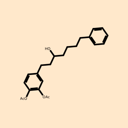 CC(=O)Oc1ccc(CCC(O)CCCCc2ccccc2)cc1OC(C)=O